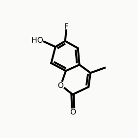 Cc1cc(=O)oc2cc(O)c(F)cc12